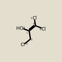 OC(CCl)=C(Cl)Cl